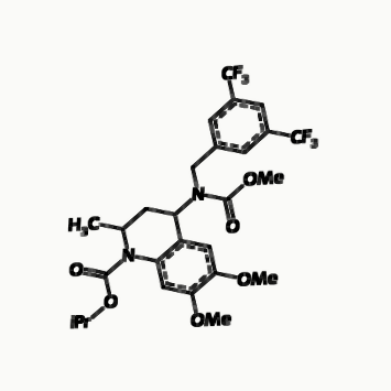 COC(=O)N(Cc1cc(C(F)(F)F)cc(C(F)(F)F)c1)C1CC(C)N(C(=O)OC(C)C)c2cc(OC)c(OC)cc21